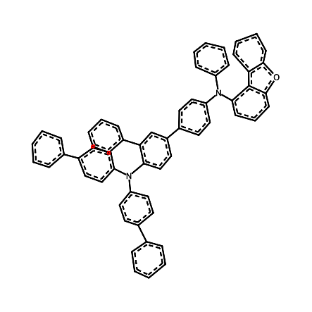 c1ccc(-c2ccc(N(c3ccc(-c4ccccc4)cc3)c3ccc(-c4ccc(N(c5ccccc5)c5cccc6oc7ccccc7c56)cc4)cc3-c3ccccc3)cc2)cc1